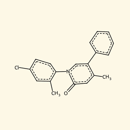 Cc1cc(=O)n(-c2ccc(Cl)cc2C)cc1-c1ccccc1